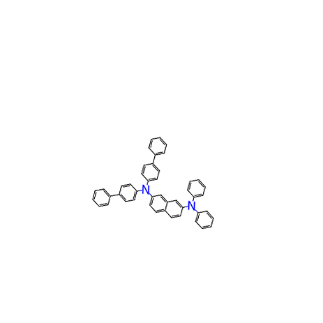 c1ccc(-c2ccc(N(c3ccc(-c4ccccc4)cc3)c3ccc4ccc(N(c5ccccc5)c5ccccc5)cc4c3)cc2)cc1